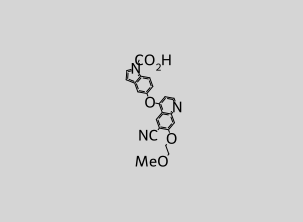 COCCOc1cc2nccc(Oc3ccc4c(ccn4C(=O)O)c3)c2cc1C#N